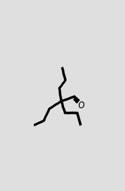 CCCC(C=O)(CCC)CCC